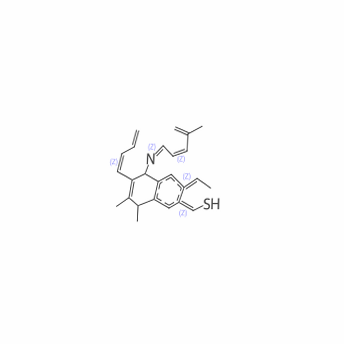 C=C/C=C\C1=C(C)C(C)c2cc(=C/S)/c(=C\C)cc2C1/N=C\C=C/C(=C)C